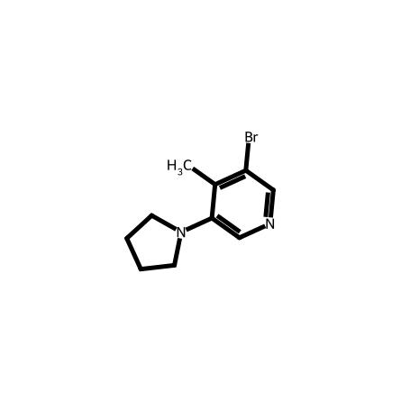 Cc1c(Br)cncc1N1CCCC1